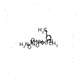 C=CCc1ccc(OC)c(O[C@H]2C[C@H](C(=O)Nc3nc(C(N)=O)co3)C2)c1